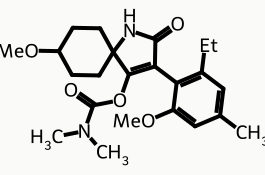 CCc1cc(C)cc(OC)c1C1=C(OC(=O)N(C)C)C2(CCC(OC)CC2)NC1=O